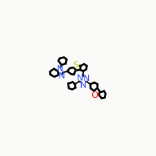 c1ccc(-c2nc(-c3ccc4c(c3)oc3ccccc34)nc(-c3cccc4sc5cc(-c6nc7ccccc7n6-c6ccccc6)ccc5c34)n2)cc1